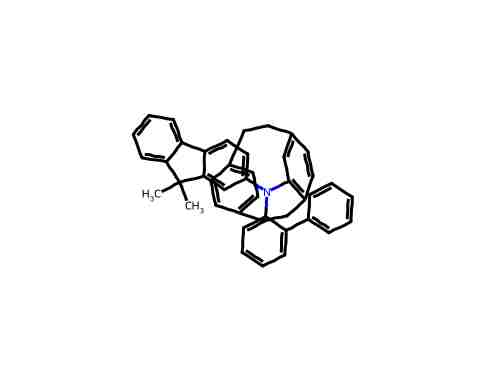 CC1(C)c2ccccc2-c2ccc(N(c3cc4ccc3CCc3ccc(cc3)CC4)c3ccccc3-c3ccccc3)cc21